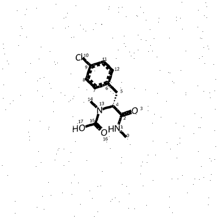 CNC(=O)[C@@H](Cc1ccc(Cl)cc1)N(C)C(=O)O